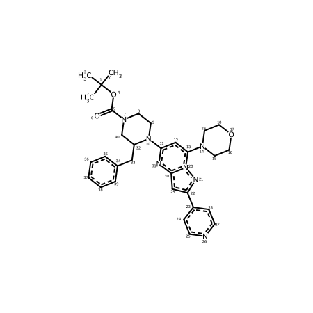 CC(C)(C)OC(=O)N1CCN(c2cc(N3CCOCC3)n3nc(-c4ccncc4)cc3n2)C(Cc2ccccc2)C1